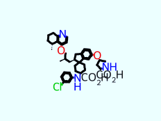 C[C@@H](COc1ccnc2c1[C@H](C)CCC2)C[C@H]1Cc2ccc(O[C@H]3CN[C@H](C(=O)O)C3)cc2C12CCC(Nc1cccc(Cl)c1)(C(=O)O)CC2